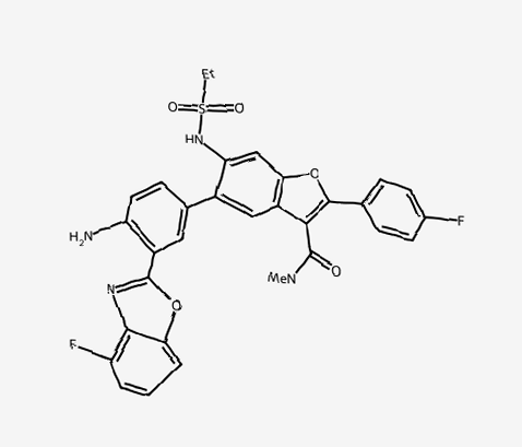 CCS(=O)(=O)Nc1cc2oc(-c3ccc(F)cc3)c(C(=O)NC)c2cc1-c1ccc(N)c(-c2nc3c(F)cccc3o2)c1